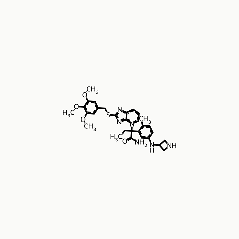 CCC(C(N)=O)(c1cc(NC2CNC2)ccc1C)n1cccc2nc(SCc3cc(OC)c(OC)c(OC)c3)nc1-2